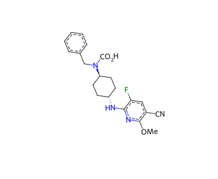 COc1nc(N[C@H]2CC[C@H](N(Cc3ccccc3)C(=O)O)CC2)c(F)cc1C#N